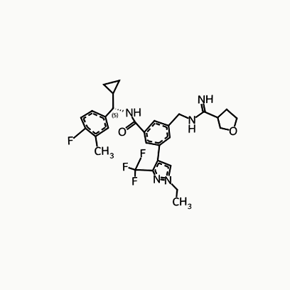 CCn1cc(-c2cc(CNC(=N)C3CCOC3)cc(C(=O)N[C@H](c3ccc(F)c(C)c3)C3CC3)c2)c(C(F)(F)F)n1